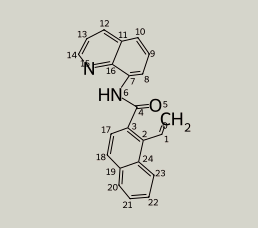 C=Cc1c(C(=O)Nc2cccc3cccnc23)ccc2ccccc12